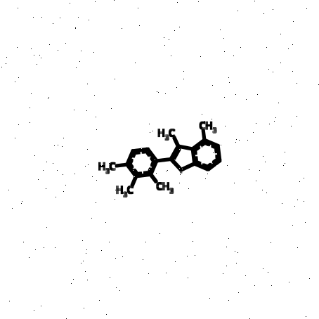 CC1=C(c2ccc(C)c(C)c2C)[CH]c2cccc(C)c21